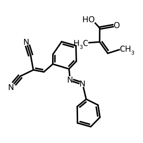 CC=C(C)C(=O)O.N#CC(C#N)=Cc1ccccc1N=Nc1ccccc1